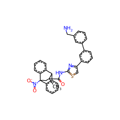 CC1(C(=O)Nc2nc(-c3cccc(-c4cccc(CN)c4)c3)cs2)CC2([N+](=O)[O-])c3ccccc3C1c1ccccc12